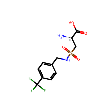 N[C@@H](CS(=O)(=O)NCc1ccc(C(F)(F)F)cc1)C(=O)O